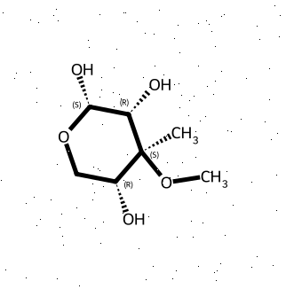 CO[C@@]1(C)[C@H](O)CO[C@H](O)[C@@H]1O